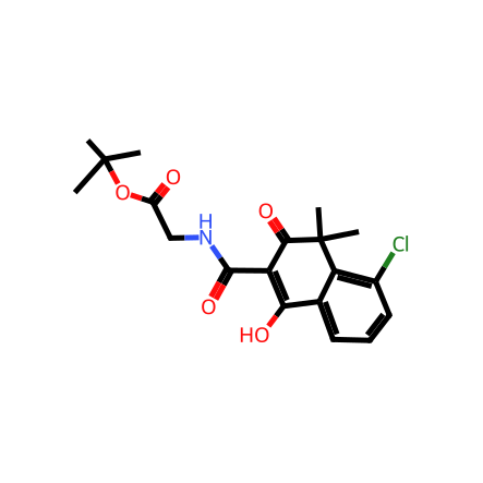 CC(C)(C)OC(=O)CNC(=O)C1=C(O)c2cccc(Cl)c2C(C)(C)C1=O